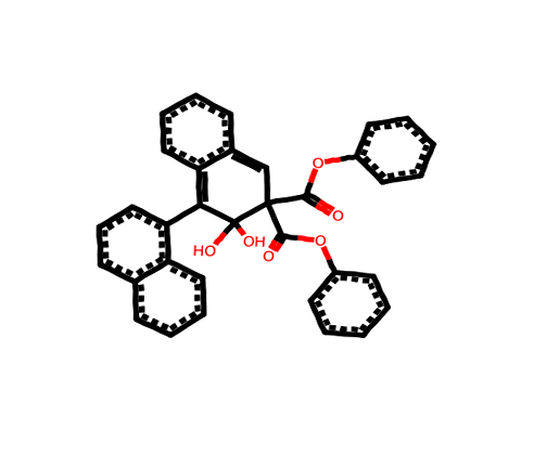 O=C(Oc1ccccc1)C1(C(=O)Oc2ccccc2)C=c2ccccc2=C(c2cccc3ccccc23)C1(O)O